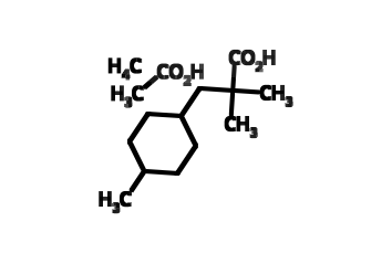 C.CC(=O)O.CC1CCC(CC(C)(C)C(=O)O)CC1